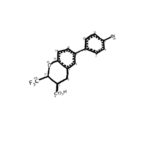 O=C(O)C1Cc2cc(-c3ccc(Br)cc3)ccc2OC1C(F)(F)F